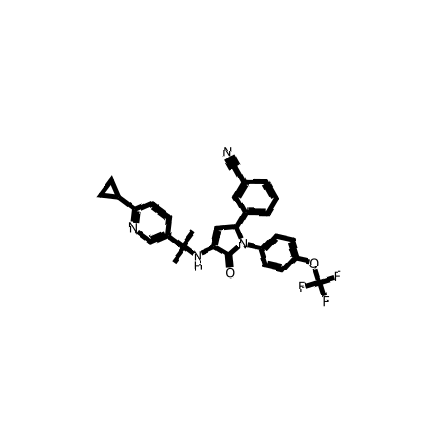 CC(C)(NC1=CC(c2cccc(C#N)c2)N(c2ccc(OC(F)(F)F)cc2)C1=O)c1ccc(C2CC2)nc1